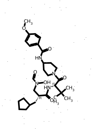 COc1ccc(C(=O)NC2CCN(C(=O)[C@@H](NC(=O)[C@H](CC3CCCC3)CN(O)C=O)C(C)(C)C)CC2)cc1